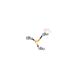 B.CC(C)(C)P(C(C)(C)C)C(C)(C)C